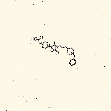 CC1C(N2CCN(CC(=O)O)CC2)OC(=O)N1CCCC1CCN(Cc2ccccc2)CC1